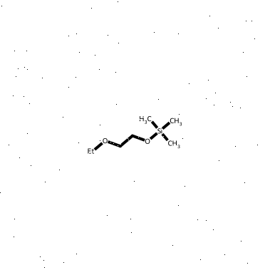 CCOCCO[Si](C)(C)C